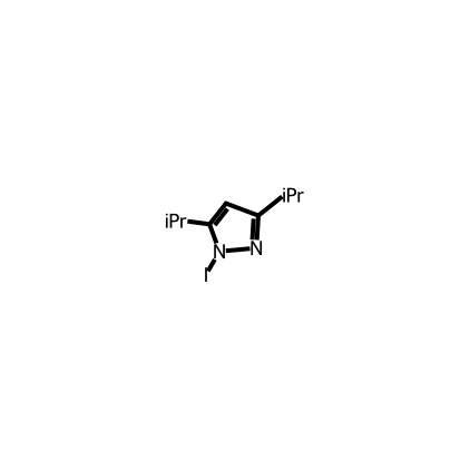 CC(C)c1cc(C(C)C)n(I)n1